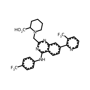 O=C(O)C1CCCCN1Cc1nc(Nc2ccc(C(F)(F)F)cc2)c2ccc(-c3ncccc3C(F)(F)F)cc2n1